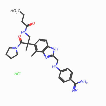 Cc1c(C(C)(CNC(=O)CCC(=O)O)C(=O)N2CCCC2)ccc2[nH]c(CNc3ccc(C(=N)N)cc3)nc12.Cl